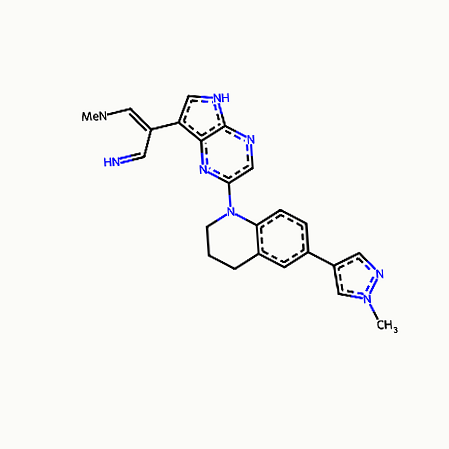 CN/C=C(\C=N)c1c[nH]c2ncc(N3CCCc4cc(-c5cnn(C)c5)ccc43)nc12